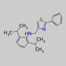 CC(C)c1cccc(C(C)C)c1NCc1csc(-c2ccccc2)n1